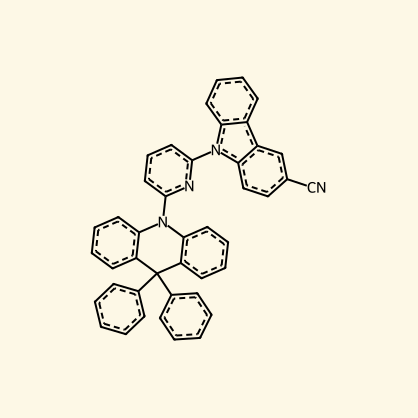 N#Cc1ccc2c(c1)c1ccccc1n2-c1cccc(N2c3ccccc3C(c3ccccc3)(c3ccccc3)c3ccccc32)n1